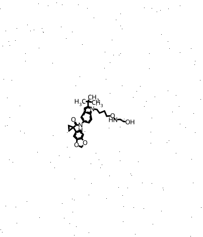 CC(C)(C)c1cc2cc(NC(=O)C3(c4ccc5c(c4)OCO5)CC3)ccc2n1CCCCONCCO